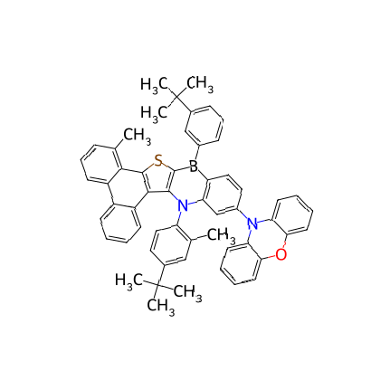 Cc1cc(C(C)(C)C)ccc1N1c2cc(N3c4ccccc4Oc4ccccc43)ccc2B(c2cccc(C(C)(C)C)c2)c2sc3c4c(C)cccc4c4ccccc4c3c21